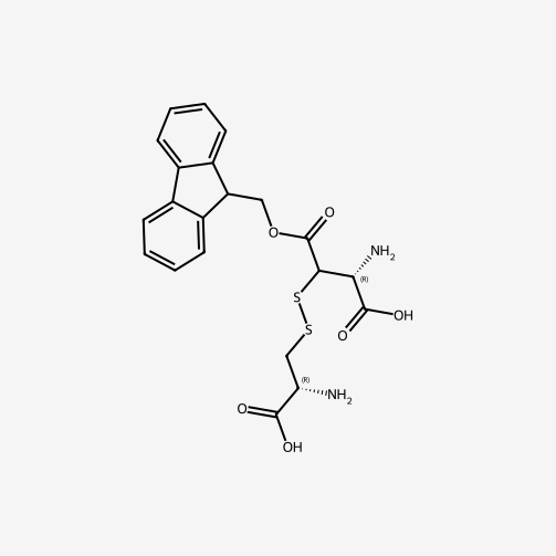 N[C@H](C(=O)O)C(SSC[C@H](N)C(=O)O)C(=O)OCC1c2ccccc2-c2ccccc21